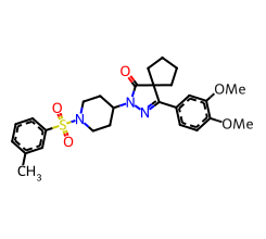 COc1ccc(C2=NN(C3CCN(S(=O)(=O)c4cccc(C)c4)CC3)C(=O)C23CCCC3)cc1OC